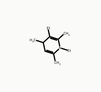 CCC1=C(C)N(CC)C(C)=CC1C